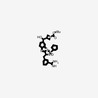 CC(C)(C)OC(=O)N1CC(C(O)c2ccc3nc(C(Cc4cccc(C(=N)N)c4)NS(=O)(=O)c4ccccc4)sc3c2)C1